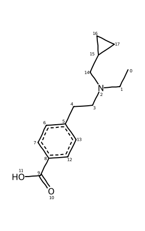 CCN(CCc1ccc(C(=O)O)cc1)CC1CC1